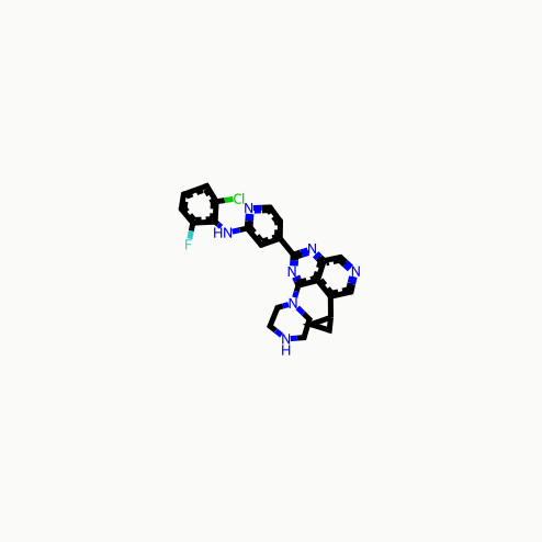 Fc1cccc(Cl)c1Nc1cc(-c2nc(N3CCNCC3)c3c(C4CC4)cncc3n2)ccn1